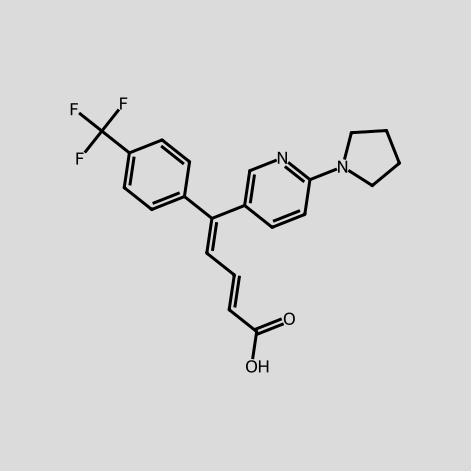 O=C(O)C=CC=C(c1ccc(C(F)(F)F)cc1)c1ccc(N2CCCC2)nc1